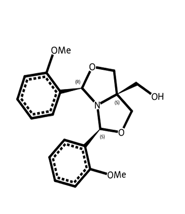 COc1ccccc1[C@H]1OC[C@]2(CO)CO[C@@H](c3ccccc3OC)N12